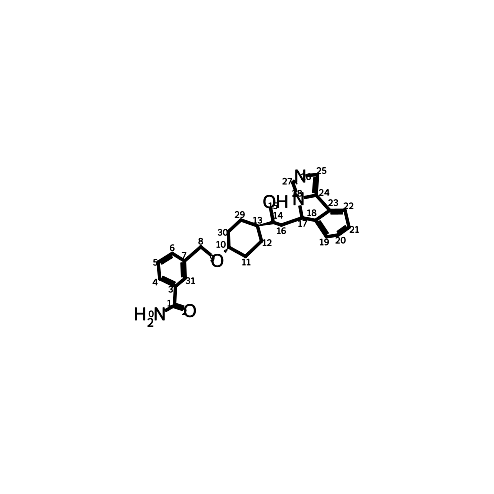 NC(=O)c1cccc(CO[C@H]2CC[C@H](C(O)CC3c4ccccc4-c4cncn43)CC2)c1